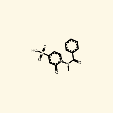 CN(C(=O)c1ccccc1)n1ccc(S(=O)(=O)O)cc1=O